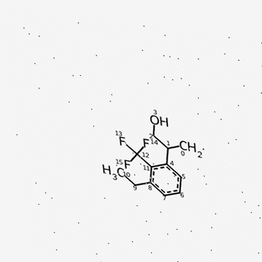 [CH2]C(CO)c1cccc(CC)c1C(F)(F)F